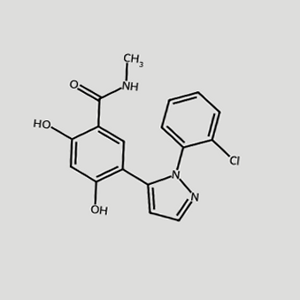 CNC(=O)c1cc(-c2ccnn2-c2ccccc2Cl)c(O)cc1O